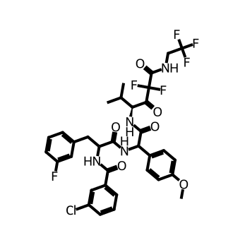 COc1ccc(C(NC(=O)C(Cc2cccc(F)c2)NC(=O)c2cccc(Cl)c2)C(=O)N[C@H](C(=O)C(F)(F)C(=O)NCC(F)(F)F)C(C)C)cc1